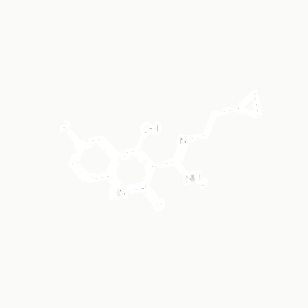 NC(=NCCC1CC1)c1c(O)c2cc(F)ccc2[nH]c1=O